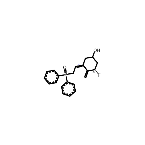 C=C1/C(=C\CP(=O)(c2ccccc2)c2ccccc2)CC(O)C[C@@H]1F